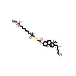 CC(C)CCC[C@@H](C)[C@H]1CC[C@H]2[C@@H]3CC=C4C[C@@H](OC(=O)CSSCC(=O)NCCCCCCNC(=O)OC(C)(C)C)CC[C@]4(C)[C@H]3CC[C@]12C